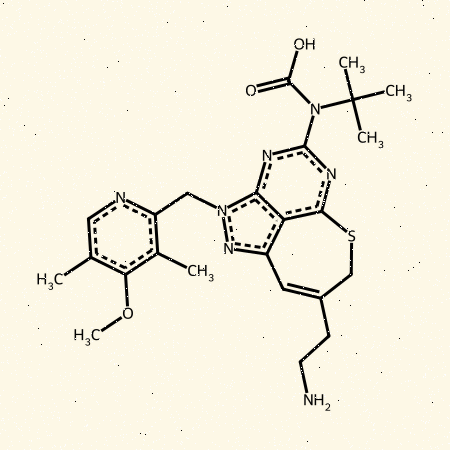 COc1c(C)cnc(Cn2nc3c4c(nc(N(C(=O)O)C(C)(C)C)nc42)SCC(CCN)=C3)c1C